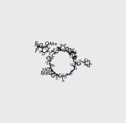 CO[C@@H]1C[C@H](C[C@@H](C)[C@@H]2CC(=O)[C@H](C)/C=C(\C)[C@@H](O)[C@@H](OC)C(=O)[C@H](C)C[C@H](C)/C=C/C=C/C=C(\C)[C@H](OCC3COCCO3)C[C@@H]3CC[C@@H](C)[C@@](O)(O3)C(=O)C(=O)N3CCCC[C@H]3C(=O)O2)CC[C@H]1OC(F)F